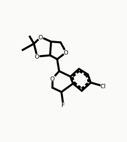 CC1(C)OC2COC(C3OCC(F)c4cc(Cl)ccc43)C2O1